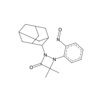 CC1(C)C(=O)N(C2C3CC4CC(C3)CC2C4)N1c1ccccc1N=O